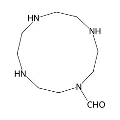 O=CN1CCNCCNCCNCC1